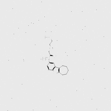 O=C(COCCO)Nc1ccc2oc3c(c2c1)CCCCC3